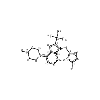 Cc1cnc(Cn2c(C(F)(F)F)cc3c(N4CCN(C)CC4)cccc32)s1